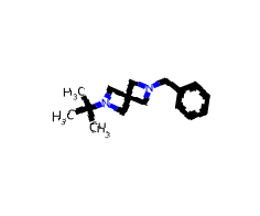 CC(C)(C)N1CC2(CN(Cc3ccccc3)C2)C1